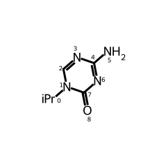 CC(C)n1cnc(N)nc1=O